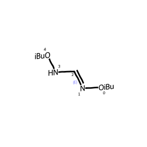 CC(C)CO/N=C/NOCC(C)C